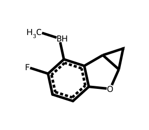 CBc1c(F)ccc2c1C1CC1O2